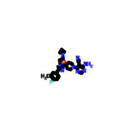 Cc1cc(-c2cn(CCN3CCC3)c(C3(O)CCN(c4ncnc(N)c4C#N)CC3)n2)ccc1F